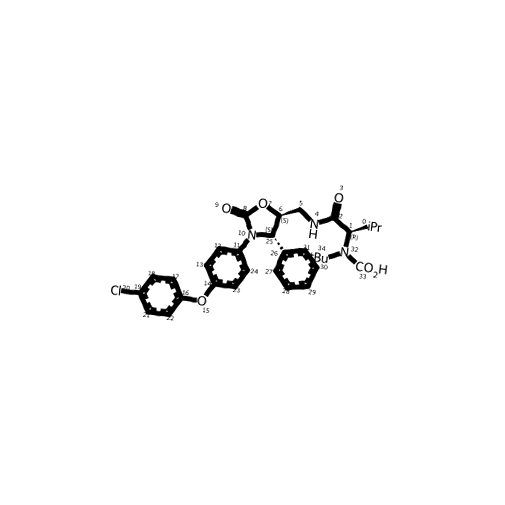 CC(C)[C@H](C(=O)NC[C@@H]1OC(=O)N(c2ccc(Oc3ccc(Cl)cc3)cc2)[C@H]1c1ccccc1)N(C(=O)O)C(C)(C)C